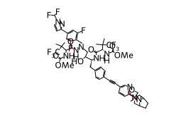 COC(=O)N[C@H](C(=O)N[C@@H](Cc1ccc(C#Cc2ccc(N3CC4CCC(C3)N4C3(C)COC3)nc2)cc1)[C@@H](O)CN(Cc1c(F)cc(-c2ccn(C(F)F)n2)cc1F)NC(=O)[C@@H](NC(=O)OC)C(C)(C)C(F)(F)F)C(C)(C)C(F)(F)F